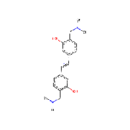 CCN(CC)Cc1ccc(/C=C/c2ccc(CN(CC)CC)c(O)c2)cc1O